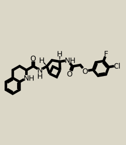 O=C(COc1ccc(Cl)c(F)c1)N[C@@H]1C[C@H](NC(=O)C2CCc3ccccc3N2)C2CC1C2